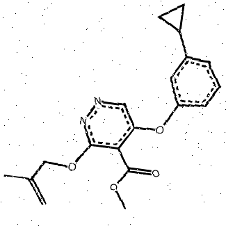 C=C(C)COc1nncc(Oc2cccc(C3CC3)c2)c1C(=O)OC